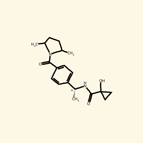 CC1CCC(C)N1C(=O)c1ccc([C@@H](C)NC(=O)C2(O)CC2)cc1